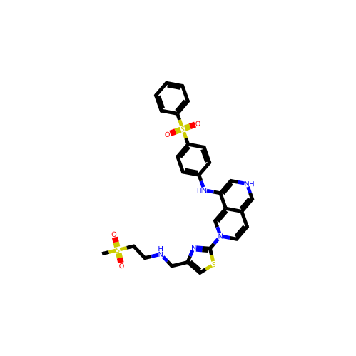 CS(=O)(=O)CCNCc1csc(N2C=CC3=CNC=C(Nc4ccc(S(=O)(=O)c5ccccc5)cc4)C3=C2)n1